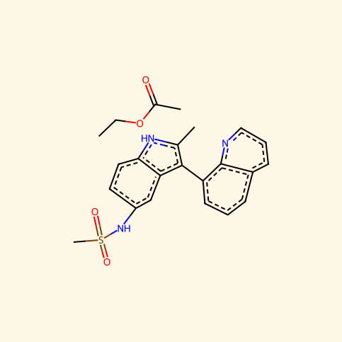 CCOC(C)=O.Cc1[nH]c2ccc(NS(C)(=O)=O)cc2c1-c1cccc2cccnc12